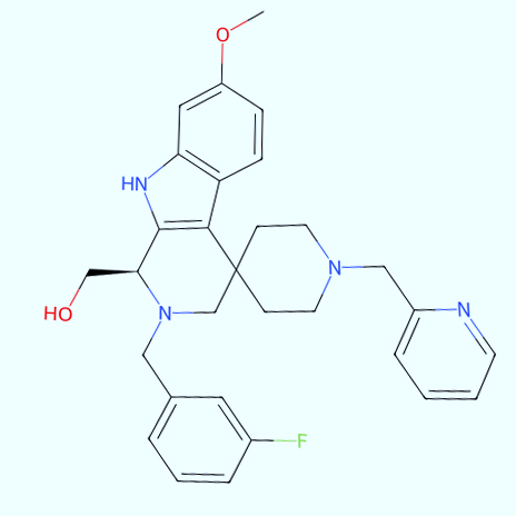 COc1ccc2c3c([nH]c2c1)[C@H](CO)N(Cc1cccc(F)c1)CC31CCN(Cc2ccccn2)CC1